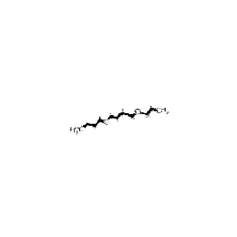 [CH2]CCCOCCCCOCCC